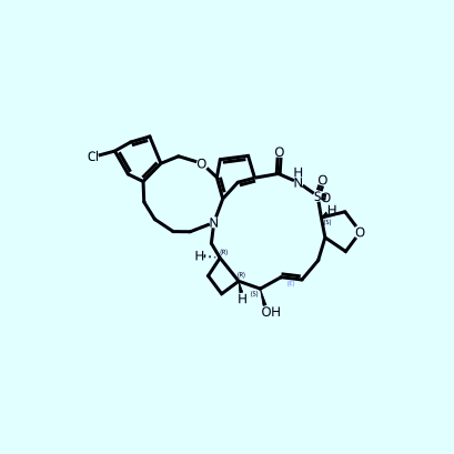 O=C1NS(=O)(=O)[C@@H]2COCC2C/C=C/[C@@H](O)[C@@H]2CC[C@H]2CN2CCCCc3cc(Cl)ccc3COc3ccc1cc32